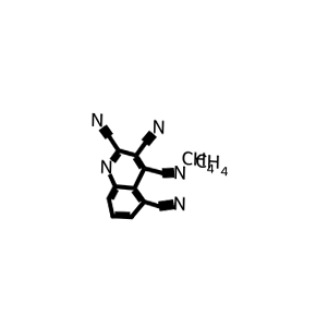 C.C.N#Cc1nc2cccc(C#N)c2c(C#N)c1C#N